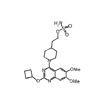 COc1cc2nc(OC3CCC3)nc(N3CCC(CCOS(N)(=O)=O)CC3)c2cc1OC